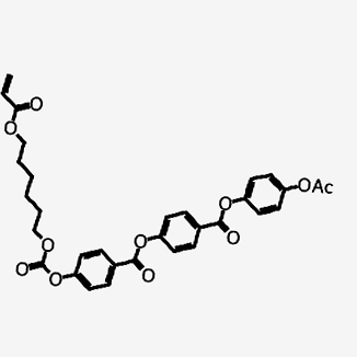 C=CC(=O)OCCCCCCOC(=O)Oc1ccc(C(=O)Oc2ccc(C(=O)Oc3ccc(OC(C)=O)cc3)cc2)cc1